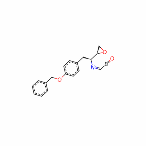 O=B/C=N\[C@@H](Cc1ccc(OCc2ccccc2)cc1)[C@H]1CO1